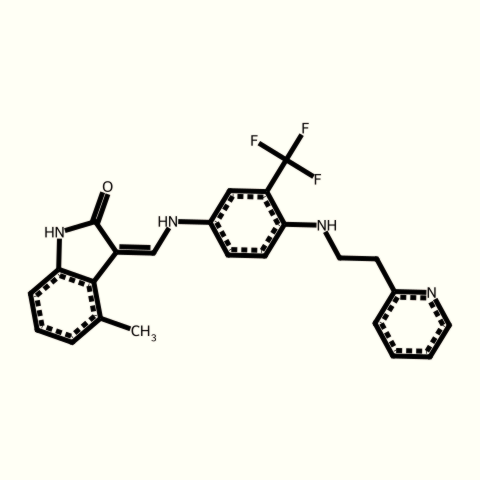 Cc1cccc2c1C(=CNc1ccc(NCCc3ccccn3)c(C(F)(F)F)c1)C(=O)N2